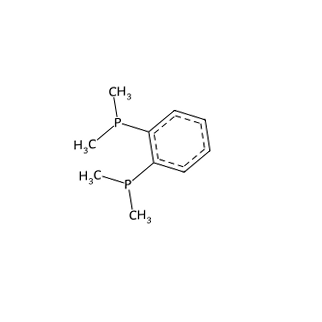 CP(C)c1ccccc1P(C)C